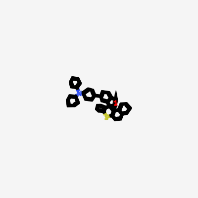 c1ccc(N(c2ccccc2)c2ccc(-c3ccc4c(c3)C3(c5ccccc5Sc5ccc6ccccc6c53)c3ccccc3-4)cc2)cc1